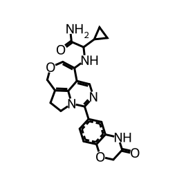 NC(=O)C(NC1=COCC2=C3C1=CN=C(c1ccc4c(c1)NC(=O)CO4)N3CC2)C1CC1